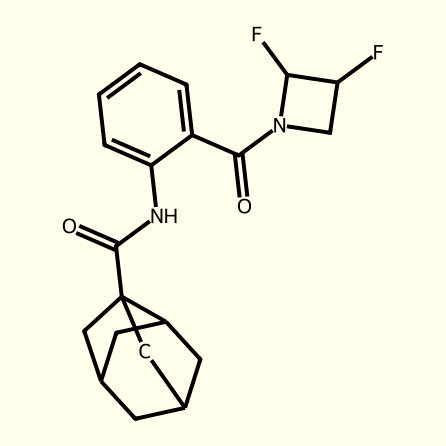 O=C(c1ccccc1NC(=O)C12CC3CC(CC1C3)C2)N1CC(F)C1F